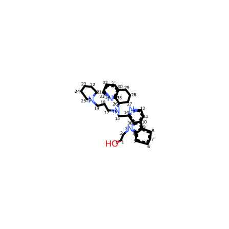 OCCn1c2ccccc2c2ccnc(CN(CCCN3CCCCC3)C3CCCc4cccnc43)c21